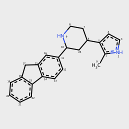 Cc1[nH]ccc1C1CCNC(c2ccc3c(c2)Cc2ccccc2-3)C1